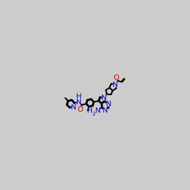 C=CC(=O)N1CC2CC(n3cc(-c4ccc(C(=O)Nc5cc(C)ccn5)c(C)c4)c4c(N)ncnc43)CC2C1